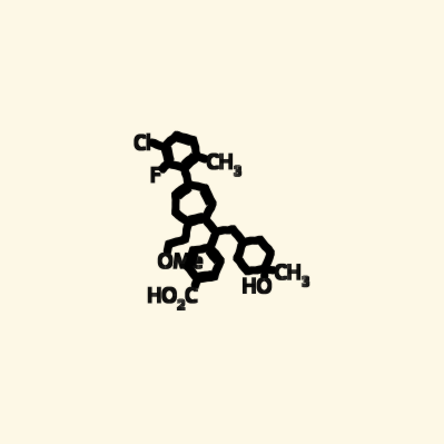 COCCC1=C(C(CC2CCC(C)(O)CC2)c2ccc(C(=O)O)cc2)C=CC(c2c(C)ccc(Cl)c2F)=CC1